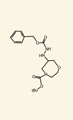 CC(C)(C)OC(=O)N1CCOCC(NNC(=O)OCc2ccccc2)C1